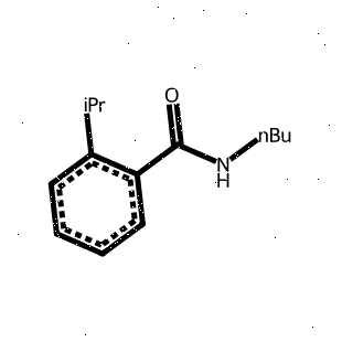 CCCCNC(=O)c1ccccc1C(C)C